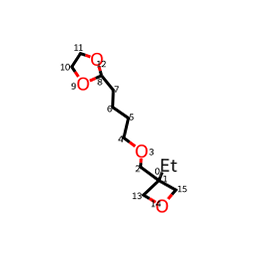 CCC1(COCCCCC2OCCO2)COC1